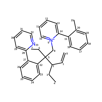 C=CC(CC)C(CC)(C[n+]1ccccc1-c1ccccc1C)c1ccccc1-c1ccccn1